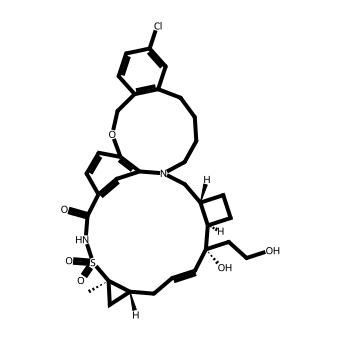 C[C@@]12C[C@H]1C/C=C/[C@](O)(CCO)[C@@H]1CC[C@H]1CN1CCCCc3cc(Cl)ccc3COc3ccc(cc31)C(=O)NS2(=O)=O